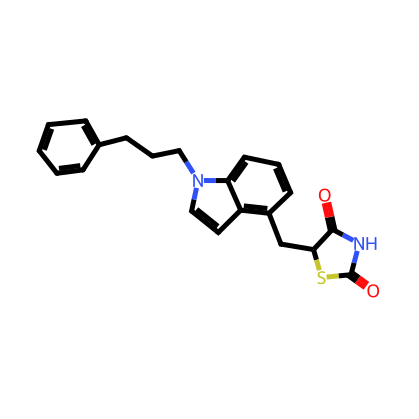 O=C1NC(=O)C(Cc2cccc3c2ccn3CCCc2ccccc2)S1